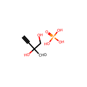 C#CC(O)(C=O)CO.O=P(O)(O)O